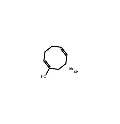 OC1=CCCC=CCC1.[Rh].[Rh]